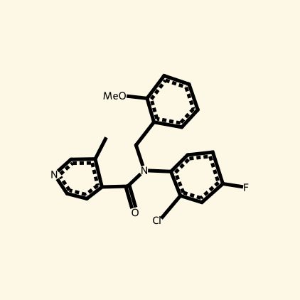 COc1ccccc1CN(C(=O)c1ccncc1C)c1ccc(F)cc1Cl